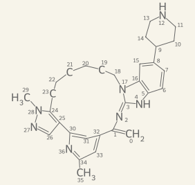 C=C1/N=C2\Nc3ccc(C4CCNCC4)cc3N2CCCCCCc2c(cnn2C)-c2cc1cc(C)n2